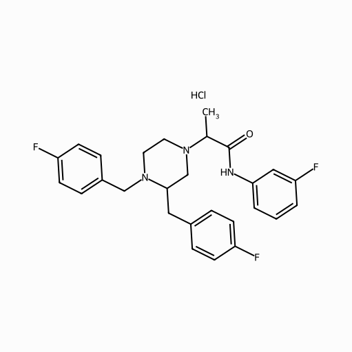 CC(C(=O)Nc1cccc(F)c1)N1CCN(Cc2ccc(F)cc2)C(Cc2ccc(F)cc2)C1.Cl